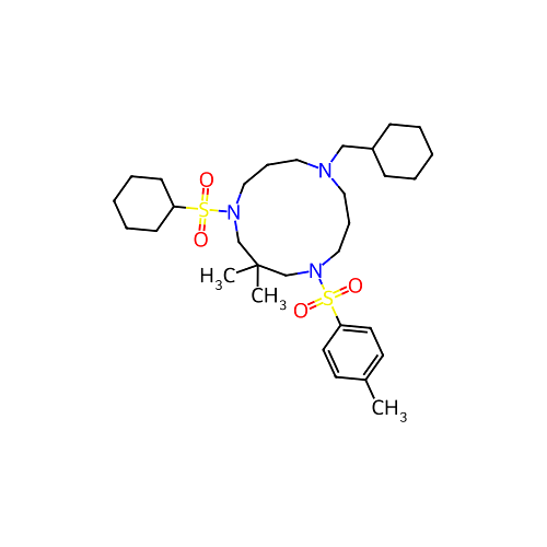 Cc1ccc(S(=O)(=O)N2CCCN(CC3CCCCC3)CCCN(S(=O)(=O)C3CCCCC3)CC(C)(C)C2)cc1